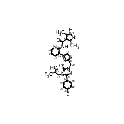 Cc1n[nH]c(C)c1C(=O)Nc1ncccc1-n1cnc(Cn2nc(-c3ccc(Cl)cc3)n(C[C@H](O)C(F)(F)F)c2=O)n1